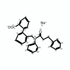 O=C([O-])c1ccccc1-c1ccccc1CN(C(=O)CCc1ccccc1)c1ccccc1.[Na+]